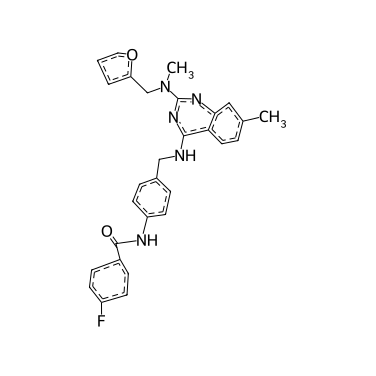 Cc1ccc2c(NCc3ccc(NC(=O)c4ccc(F)cc4)cc3)nc(N(C)Cc3ccco3)nc2c1